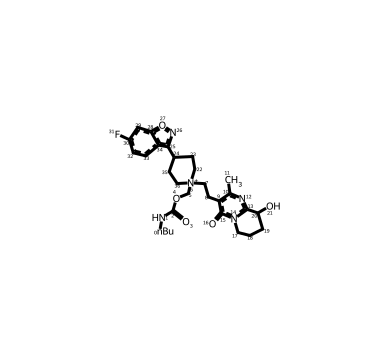 CCCCNC(=O)OC[N+]1(CCc2c(C)nc3n(c2=O)CCCC3O)CCC(c2noc3cc(F)ccc23)CC1